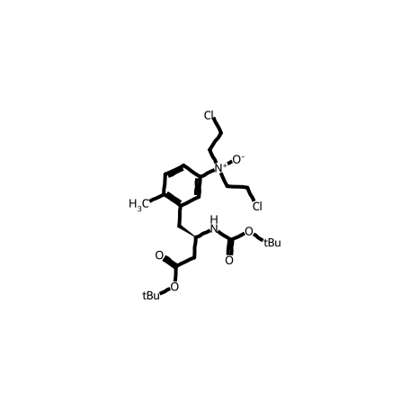 Cc1ccc([N+]([O-])(CCCl)CCCl)cc1C[C@H](CC(=O)OC(C)(C)C)NC(=O)OC(C)(C)C